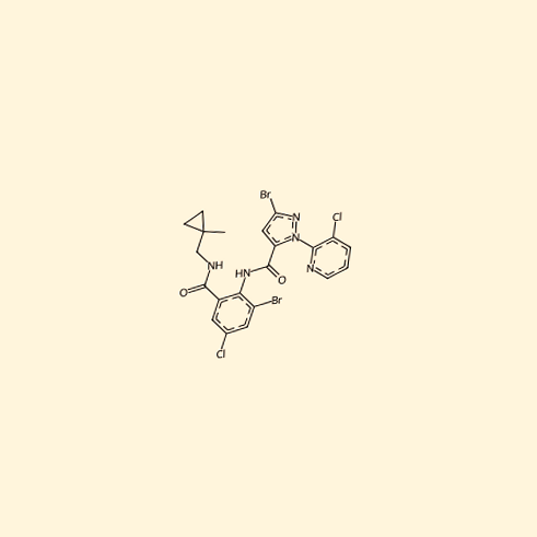 CC1(CNC(=O)c2cc(Cl)cc(Br)c2NC(=O)c2cc(Br)nn2-c2ncccc2Cl)CC1